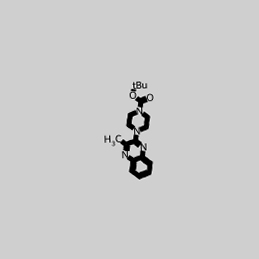 Cc1nc2ccccc2nc1N1CCN(C(=O)OC(C)(C)C)CC1